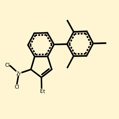 CCC1=Cc2c(-c3c(C)cc(C)cc3C)cccc2[CH]1[Zr]([Cl])[Cl]